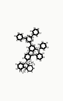 CC12CCCCC1(C)N(c1ccc3c(c1)B1c4ccccc4N(c4ccccc4)c4cc(-c5nc(-c6ccccc6)nc(-c6ccccc6)n5)cc-3c41)c1ccccc12